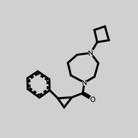 O=C(C1CC1c1ccccc1)N1CCCN(C2CCC2)CC1